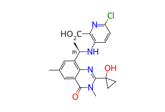 Cc1cc([C@@H](C)Nc2ccc(Cl)nc2C(=O)O)c2nc(C3(O)CC3)n(C)c(=O)c2c1